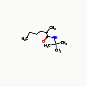 CCCC[C](C)C(=O)NC(C)(C)C